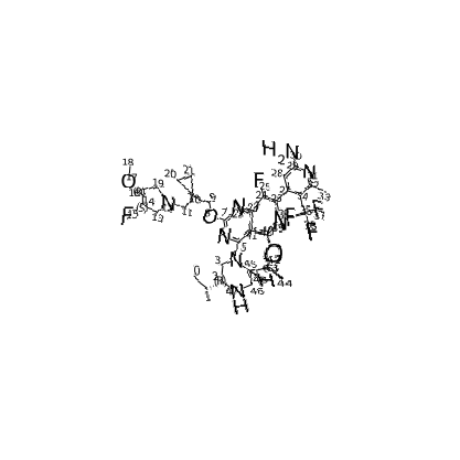 CC[C@@H]1CN2c3nc(OCC4(CN5C[C@H](F)[C@H](OC)C5)CC4)nc4c(F)c(-c5cc(N)nc(C)c5C(F)(F)F)nc(c34)O[C@@H](C)[C@@H]2CN1